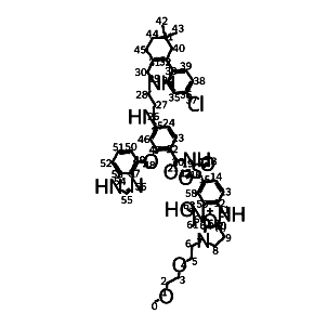 COCCOCCN1CC[C@@H](Nc2ccc(S(=O)(=O)NC(=O)c3ccc(NCCNCC4=C(c5ccc(Cl)cc5)CC(C)(C)CC4)cc3Oc3cccc4[nH]cnc34)cc2[N+](C)([O-])O)C1